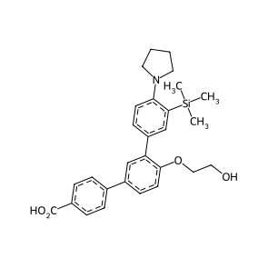 C[Si](C)(C)c1cc(-c2cc(-c3ccc(C(=O)O)cc3)ccc2OCCO)ccc1N1CCCC1